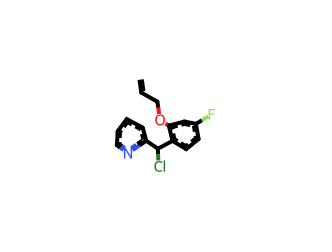 C=CCOc1cc(F)ccc1C(Cl)c1ccccn1